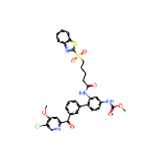 COC(=O)Nc1ccc(-c2cccc(C(=O)c3cc(OC)c(Cl)cn3)c2)c(NC(=O)CCCCS(=O)(=O)c2nc3ccccc3s2)c1